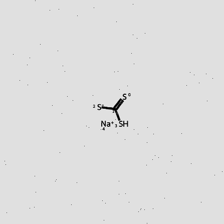 S=C([S-])S.[Na+]